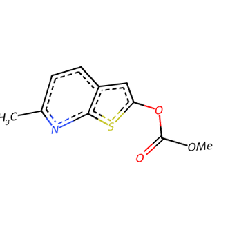 COC(=O)Oc1cc2ccc(C)nc2s1